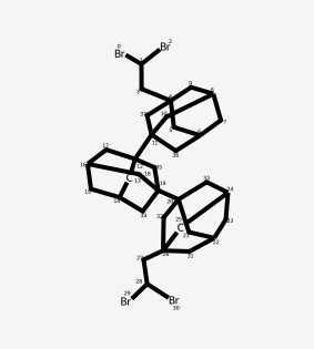 BrC(Br)CC12CC3CC(C1)CC(C14CC5CC(C1)CC(C16CC7CC(CC(CC(Br)Br)(C7)C1)C6)(C5)C4)(C3)C2